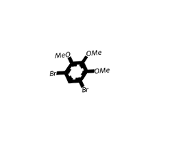 COc1c(Br)cc(Br)c(OC)c1OC